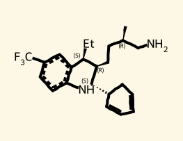 CC[C@@H]1c2cc(C(F)(F)F)ccc2N[C@@H](C2C=CC=CC2)[C@@H]1CC[C@@H](C)CN